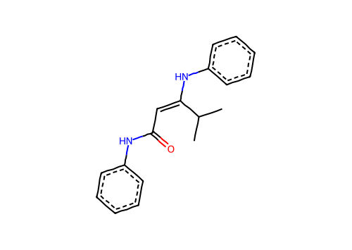 CC(C)/C(=C\C(=O)Nc1ccccc1)Nc1ccccc1